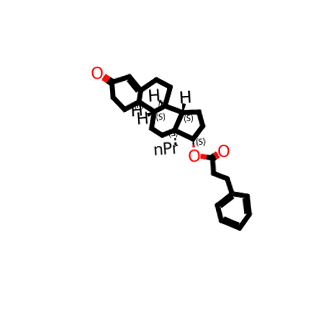 CCC[C@]12CC[C@H]3[C@@H](CCC4=CC(=O)CC[C@@H]43)[C@@H]1CC[C@@H]2OC(=O)CCc1ccccc1